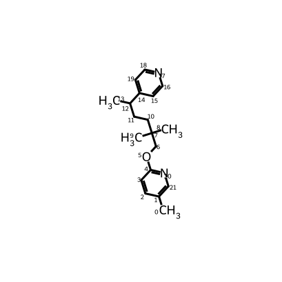 Cc1ccc(OCC(C)(C)CCC(C)c2ccncc2)nc1